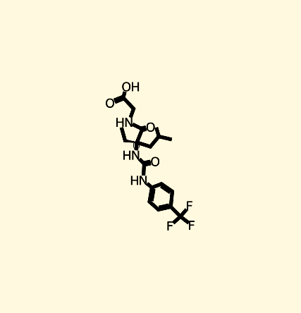 CC[C@@](CC(C)C)(NC(=O)Nc1ccc(C(F)(F)F)cc1)C(=O)NCC(=O)O